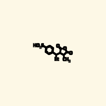 CCC(c1ccc(S(=O)(=O)O)cc1)C1C(=O)OC(=O)C1C